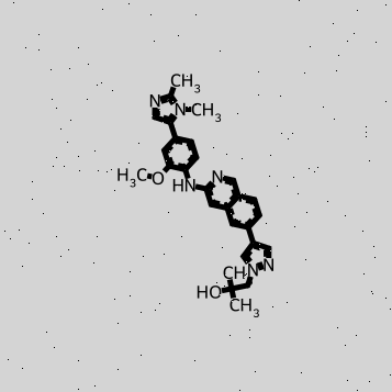 COc1cc(-c2cnc(C)n2C)ccc1Nc1cc2cc(-c3cnn(CC(C)(C)O)c3)ccc2cn1